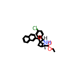 CCOC(=O)[C@@]1(C)N[C@@H](c2ccc(Cl)cc2)C2(C(=O)c3ccc4ccccc4c3)CC1C2